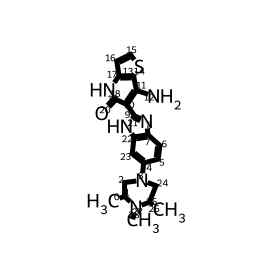 CC1CN(c2ccc3nc(-c4c(N)c5sccc5[nH]c4=O)[nH]c3c2)CC(C)N1C